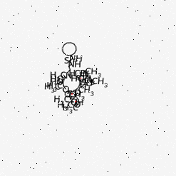 CC[C@H]1OC(=O)[C@H](C)[C@@H](O[C@@H](CCOC)O[C@@H](C)[C@@H](C)O)[C@H](C)[C@@H](O[C@@H]2O[C@H](C)C[C@H](N(C)C)[C@H]2O)[C@](C)(O)C[C@@H](C)CN(CCCNC(=S)NC2CCCCCCCCCCC2)[C@H](C)[C@@H](O)[C@]1(C)O